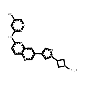 CC(C)c1cnnc(Nc2ccc3ncc(-c4cnn(C5CN(C(=O)O)C5)c4)cc3n2)c1